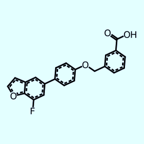 O=C(O)c1cccc(COc2ccc(-c3cc(F)c4occc4c3)cc2)c1